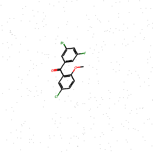 COc1ccc(Cl)cc1C(=O)c1cc(F)cc(Br)c1